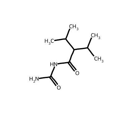 CC(C)C(C(=O)NC(N)=O)C(C)C